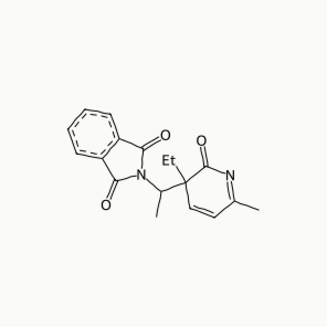 CCC1(C(C)N2C(=O)c3ccccc3C2=O)C=CC(C)=NC1=O